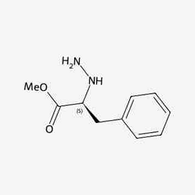 COC(=O)[C@H](Cc1ccccc1)NN